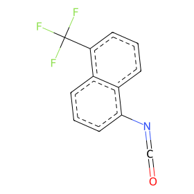 O=C=Nc1cccc2c(C(F)(F)F)cccc12